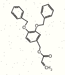 C=CC(=O)OCc1ccc(OCc2ccccc2)c(OCc2ccccc2)c1